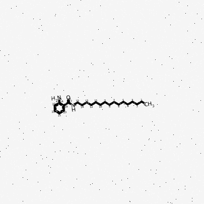 CCCCCCCCCCCCCCCCNC(=O)c1ccccc1N